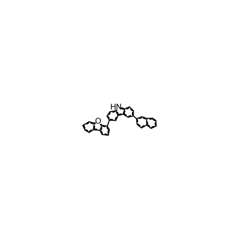 c1ccc2cc(-c3ccc4[nH]c5ccc(-c6cccc7c6oc6ccccc67)cc5c4c3)ccc2c1